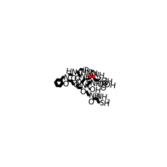 CC(C)C[C@H](NC(=O)CN(Cc1ccccc1)C(=O)CCOCCOCCNC(=O)[C@@H](N)CS)C(=O)N[C@@H](Cc1cnc[nH]1)C(=O)N[C@@H](CO)C(=O)N[C@H](C(N)=O)[C@@H](C)OP(=O)(O)O